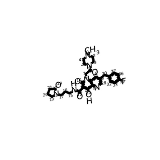 CN1CCN(C(=O)Cn2c(=O)c(C(=O)NCCCN3CCCC3=O)c(O)c3ncc(Cc4ccc(F)cc4)cc32)CC1